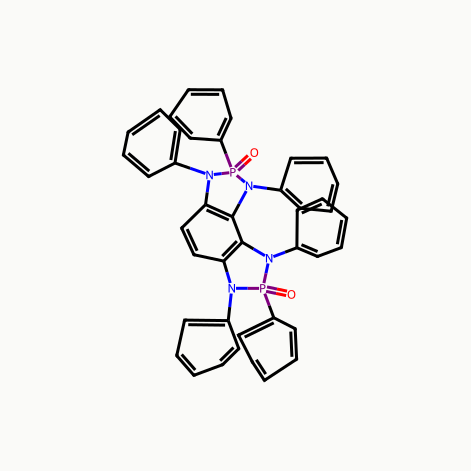 O=P1(c2ccccc2)N(c2ccccc2)c2ccc3c(c2N1c1ccccc1)N(c1ccccc1)P(=O)(c1ccccc1)N3c1ccccc1